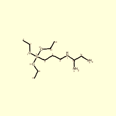 CCO[Si](CCCNC(N)CN)(OCC)OCC